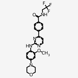 COc1cc(N2CCOCC2)ccc1Nc1nccc(-c2ccc(C(=O)NCC(F)(F)F)cc2)n1